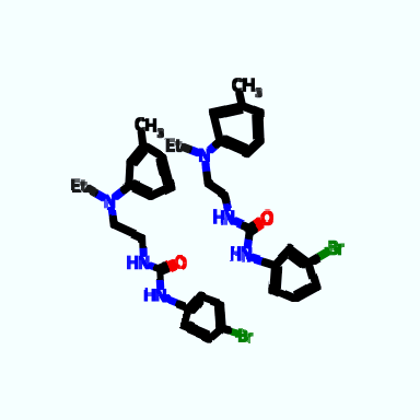 CCN(CCNC(=O)Nc1ccc(Br)cc1)c1cccc(C)c1.CCN(CCNC(=O)Nc1cccc(Br)c1)c1cccc(C)c1